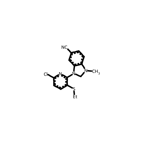 CCSc1ccc(Cl)nc1N1CN(C)c2ccc(C#N)cc21